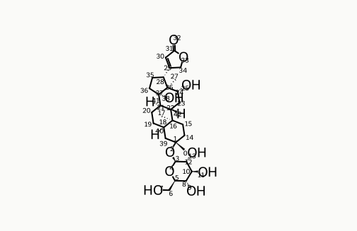 C[C@]1(O[C@@H]2O[C@H](CO)[C@@H](O)[C@H](O)[C@H]2O)CC[C@@]2(C)[C@H](CC[C@@H]3[C@@H]2C[C@@H](O)[C@]2(C)[C@@H](C4=CC(=O)OC4)CC[C@]32O)C1